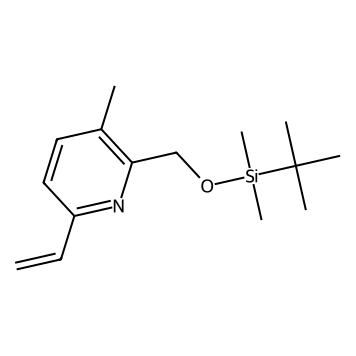 C=Cc1ccc(C)c(CO[Si](C)(C)C(C)(C)C)n1